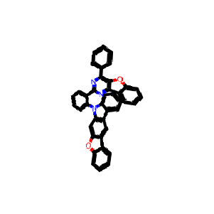 c1ccc(-c2nc(-c3ccccc3-n3c4ccccc4c4cc5c(cc43)oc3ccccc35)nc3c2oc2ccccc23)cc1